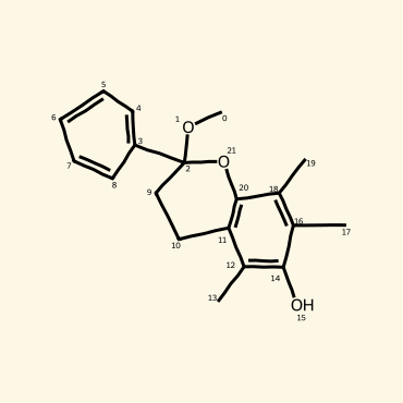 COC1(c2ccccc2)CCc2c(C)c(O)c(C)c(C)c2O1